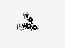 CC(C)(C)OC(=O)NC(Cc1cccc(OC(F)(F)C(F)F)c1)C(O)c1ccc(F)cc1